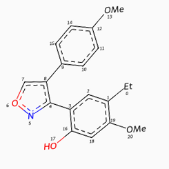 CCc1cc(-c2nocc2-c2ccc(OC)cc2)c(O)cc1OC